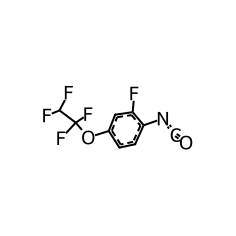 O=C=Nc1ccc(OC(F)(F)C(F)F)cc1F